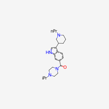 CCCN1CCCC(c2c[nH]c3cc(C(=O)N4CCN(C(C)C)CC4)ccc23)C1